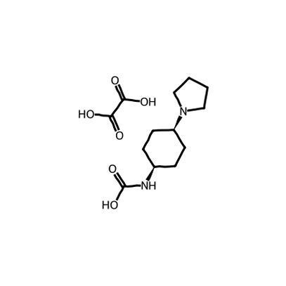 O=C(O)C(=O)O.O=C(O)N[C@H]1CC[C@@H](N2CCCC2)CC1